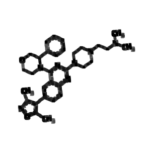 Cc1noc(C)c1-c1ccc2nc(N3CCN(CCN(C)C)CC3)nc(N3CCOCC3c3ccccc3)c2c1